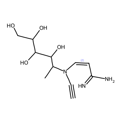 C#CN(/C=C\C(=N)N)C(C)C(O)C(O)C(O)CO